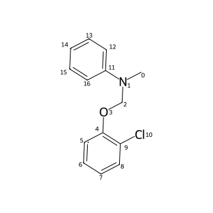 CN(COc1[c]cccc1Cl)c1ccccc1